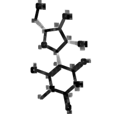 Cn1c(Cl)c([C@@H]2O[C@H](CO)C(O)[C@@H]2O)c(=O)[nH]c1=O